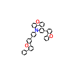 c1ccc(-c2cccc3c2oc2ccc(-c4ccc(N(c5ccc(-c6cccc7oc8ccccc8c67)cc5)c5cccc6oc7ccccc7c56)cc4)cc23)cc1